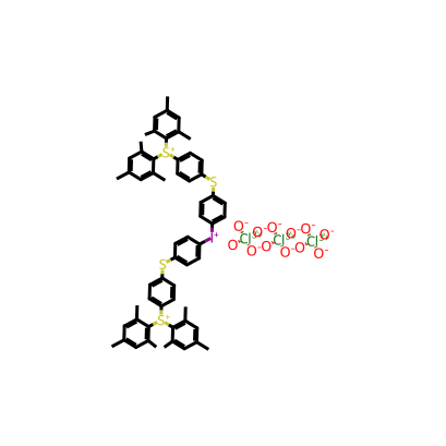 Cc1cc(C)c([S+](c2ccc(Sc3ccc([I+]c4ccc(Sc5ccc([S+](c6c(C)cc(C)cc6C)c6c(C)cc(C)cc6C)cc5)cc4)cc3)cc2)c2c(C)cc(C)cc2C)c(C)c1.[O-][Cl+3]([O-])([O-])[O-].[O-][Cl+3]([O-])([O-])[O-].[O-][Cl+3]([O-])([O-])[O-]